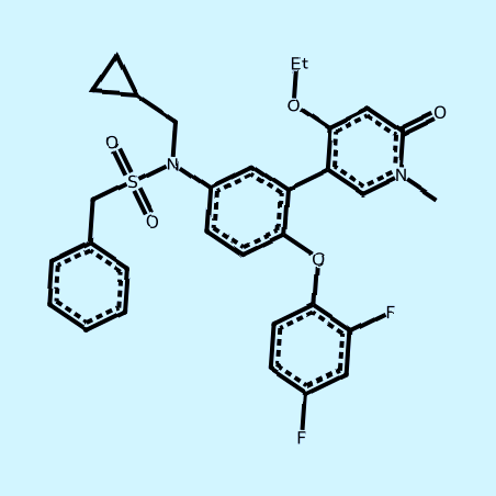 CCOc1cc(=O)n(C)cc1-c1cc(N(CC2CC2)S(=O)(=O)Cc2ccccc2)ccc1Oc1ccc(F)cc1F